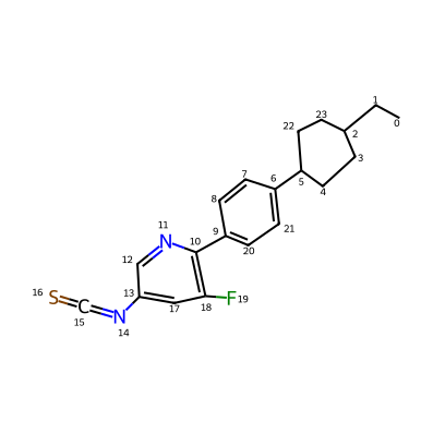 CCC1CCC(c2ccc(-c3ncc(N=C=S)cc3F)cc2)CC1